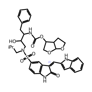 CC(C)CN(CC(O)C(Cc1ccccc1)NC(=O)OC1COC2OCCC12)S(=O)(=O)c1ccc2c(c1)/C(=C/c1cc3ccccc3[nH]1)C(=O)N2